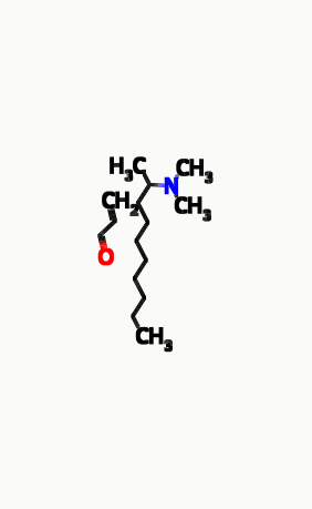 C=CC=O.CCCCCCCCC(C)N(C)C